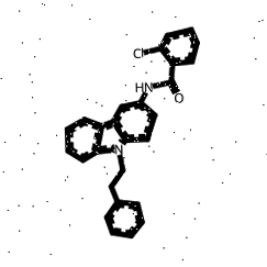 O=C(Nc1ccc2c(c1)c1ccccc1n2CCc1ccccc1)c1ccccc1Cl